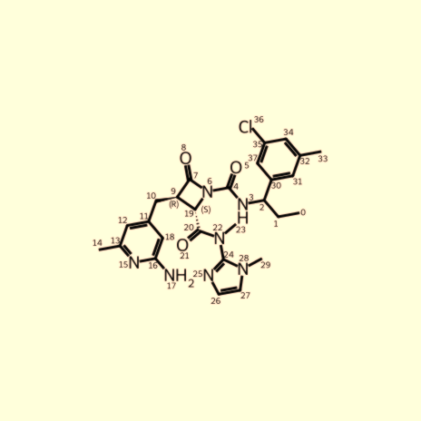 CCC(NC(=O)N1C(=O)[C@H](Cc2cc(C)nc(N)c2)[C@H]1C(=O)N(C)c1nccn1C)c1cc(C)cc(Cl)c1